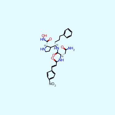 NC(=O)C[C@H](NC(=O)C=Cc1ccc([N+](=O)[O-])cc1)C(=O)N[C@@H](CCCc1ccccc1)C1CCN[C@@H]1C(=O)NO